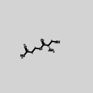 N[C@@H](CS)C(=O)OCCC(=O)O